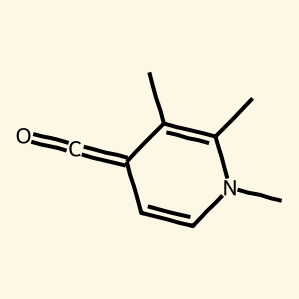 CC1=C(C)N(C)C=CC1=C=O